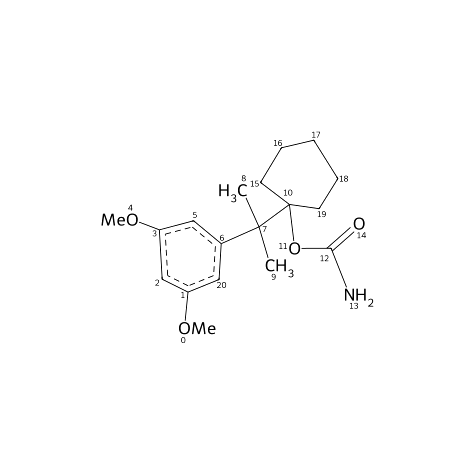 COc1cc(OC)cc(C(C)(C)C2(OC(N)=O)CCCCC2)c1